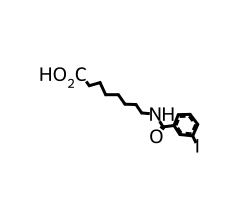 O=C(O)CCCCCCCNC(=O)c1cccc(I)c1